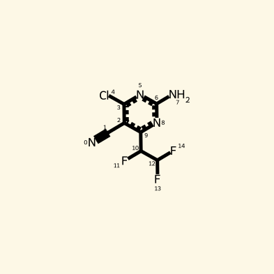 N#Cc1c(Cl)nc(N)nc1C(F)C(F)F